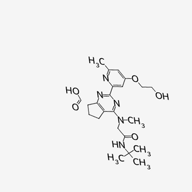 Cc1cc(OCCO)cc(-c2nc3c(c(N(C)CC(=O)NC(C)(C)C)n2)CCC3)n1.O=CO